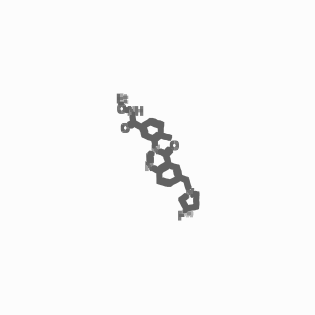 CCONC(=O)c1ccc(C)c(-n2cnc3ccc(CN4CC[C@@H](F)C4)cc3c2=O)c1